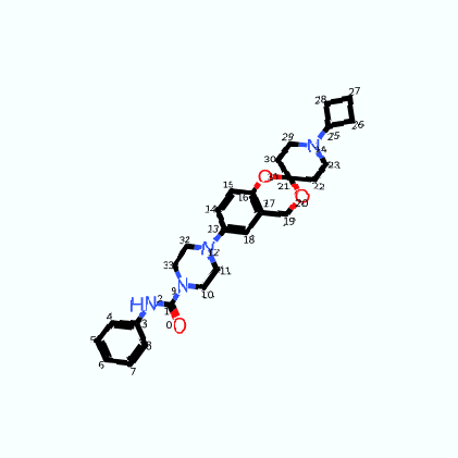 O=C(Nc1ccccc1)N1CCN(c2ccc3c(c2)COC2(CCN(C4CCC4)CC2)O3)CC1